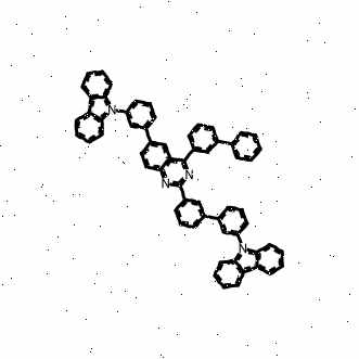 c1ccc(-c2cccc(-c3nc(-c4cccc(-c5cccc(-n6c7ccccc7c7ccccc76)c5)c4)nc4ccc(-c5cccc(-n6c7ccccc7c7ccccc76)c5)cc34)c2)cc1